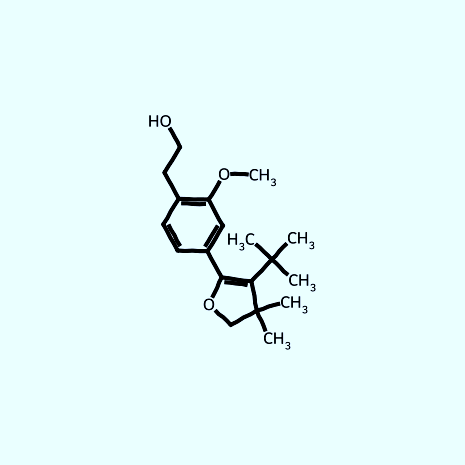 COc1cc(C2=C(C(C)(C)C)C(C)(C)CO2)ccc1CCO